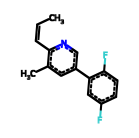 C/C=C\c1ncc(-c2cc(F)ccc2F)cc1C